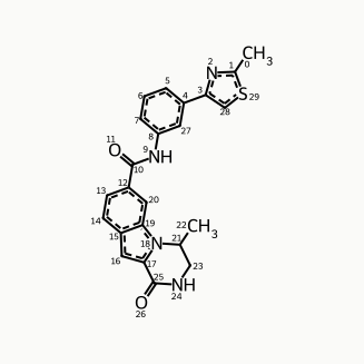 Cc1nc(-c2cccc(NC(=O)c3ccc4cc5n(c4c3)C(C)CNC5=O)c2)cs1